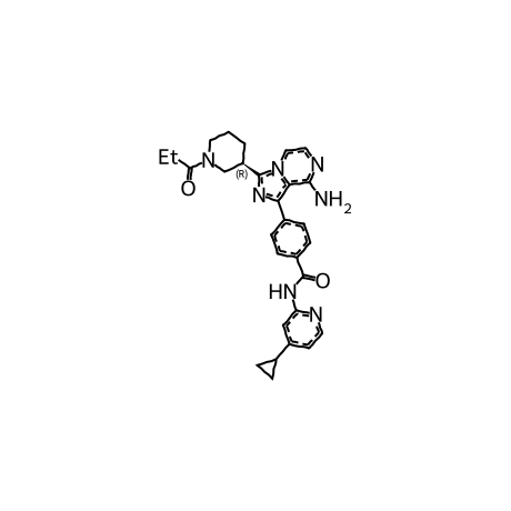 CCC(=O)N1CCC[C@@H](c2nc(-c3ccc(C(=O)Nc4cc(C5CC5)ccn4)cc3)c3c(N)nccn23)C1